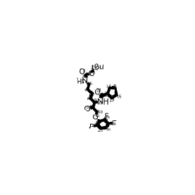 CC(C)(C)OC(=O)NCCCCC(NC(=O)C1CCCC1)C(=O)COc1c(F)ccc(F)c1F